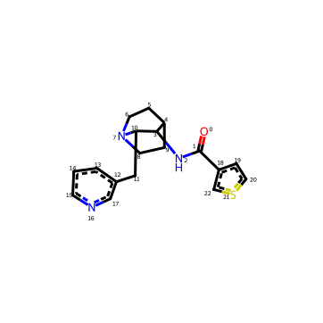 O=C(NC1C2CCN(CC2)C1Cc1cccnc1)c1ccsc1